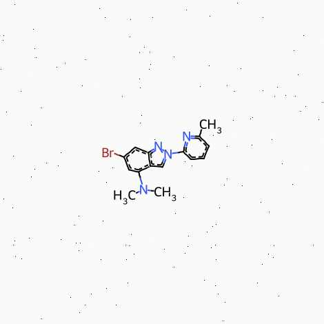 Cc1cccc(-n2cc3c(N(C)C)cc(Br)cc3n2)n1